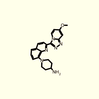 COc1ccn2c(-c3ccc4cccc(N5CCC(N)CC5)c4n3)nnc2c1